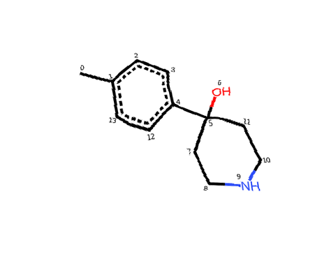 Cc1ccc(C2(O)CCNCC2)cc1